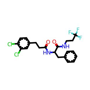 O=C(CCc1ccc(Cl)c(Cl)c1)NC(Cc1ccccc1)C(=O)NCCC(F)(F)F